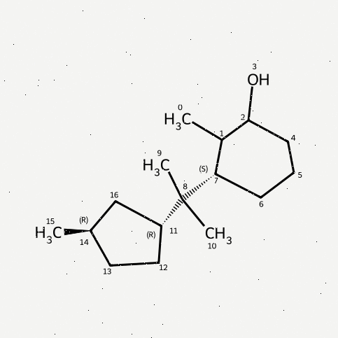 CC1C(O)CCC[C@@H]1C(C)(C)[C@@H]1CC[C@@H](C)C1